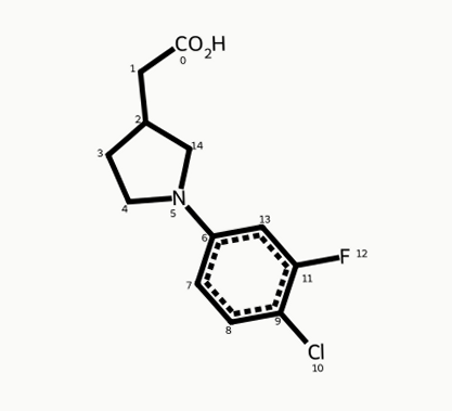 O=C(O)CC1CCN(c2ccc(Cl)c(F)c2)C1